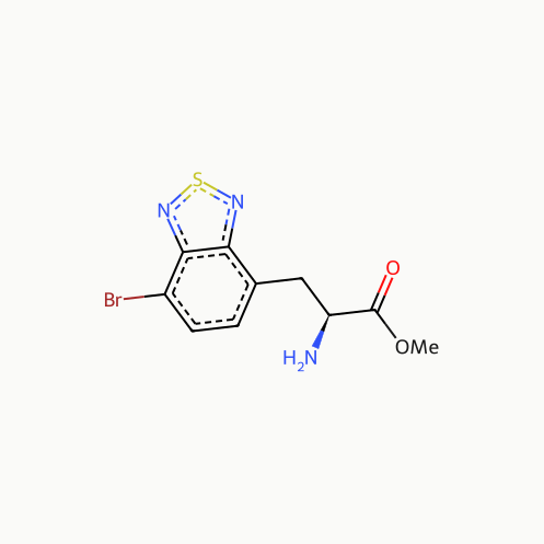 COC(=O)[C@@H](N)Cc1ccc(Br)c2nsnc12